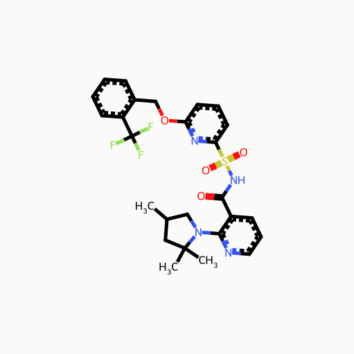 CC1CN(c2ncccc2C(=O)NS(=O)(=O)c2cccc(OCc3ccccc3C(F)(F)F)n2)C(C)(C)C1